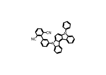 N#Cc1cccc(C#N)c1-c1cccc(-n2c3ccccc3c3c4c5ccccc5n(-c5ccccc5)c4ccc32)c1